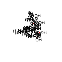 COc1cc2c(c(OC)c1OC)-c1ccc(NC(=O)[C@H](Cc3ccc(O)cc3)N3C(=O)[C@@H](NC(=O)[C@H](Cc4ccc(O)cc4)NC(=O)[C@H](CCc4ccccc4)NC(=O)CNC(=O)[C@H](CCCNC(N)=O)NC(=O)[C@H](CO)NC(=O)[C@H](CCCNC(=N)N)NC(=O)CCNC(=S)Nc4ccc5c(c4)C(=O)OC54c5ccc(O)cc5Oc5cc(O)ccc54)CC3C)c(=O)cc1[C@@H](NC(C)=O)CC2